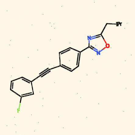 CC(C)Cc1nc(-c2ccc(C#Cc3cccc(F)c3)cc2)no1